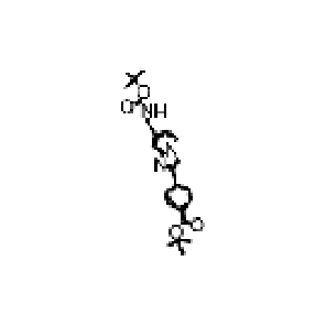 CC(C)(C)OC(=O)NCc1ccn2cc(-c3ccc(C(=O)OC(C)(C)C)cc3)nc2c1